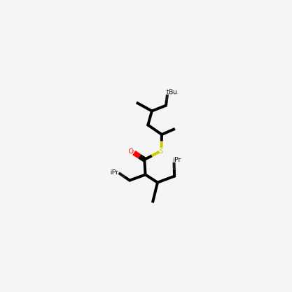 CC(C)CC(C)C(CC(C)C)C(=O)SC(C)CC(C)CC(C)(C)C